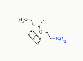 CCCC(=O)OCCN.c1cc2ccc1-2